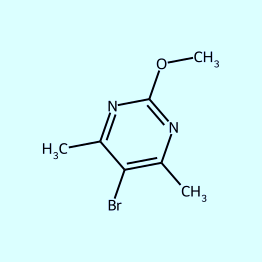 COc1nc(C)c(Br)c(C)n1